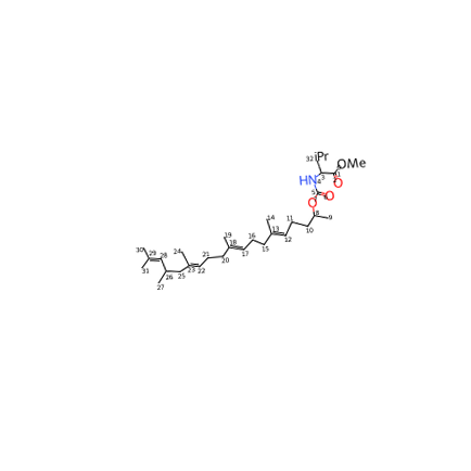 COC(=O)C(NC(=O)OC(C)CC/C=C(\C)CC/C=C(\C)CC/C=C(\C)CC(C)C=C(C)C)C(C)C